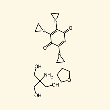 C1CCOC1.NC(CO)(CO)CO.O=C1C=C(N2CC2)C(=O)C(N2CC2)=C1N1CC1